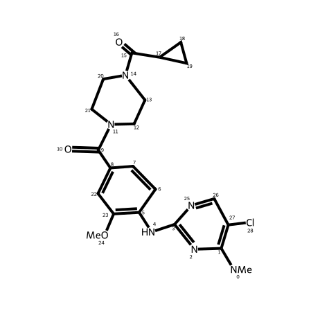 CNc1nc(Nc2ccc(C(=O)N3CCN(C(=O)C4CC4)CC3)cc2OC)ncc1Cl